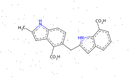 Cc1cc2c(C(=O)O)c(Cc3cc4cccc(C(=O)O)c4[nH]3)ccc2[nH]1